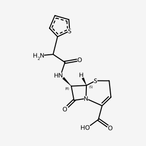 NC(C(=O)N[C@@H]1C(=O)N2C(C(=O)O)=CCS[C@@H]12)c1cccs1